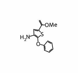 C=C(OC)c1cc(N)c(Oc2ccccc2)s1